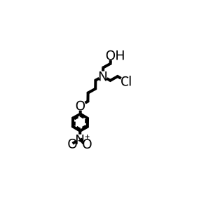 O=[N+]([O-])c1ccc(OCCCCN(CCO)CCCl)cc1